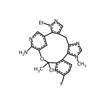 CCn1ncc2c1-c1cnc(N)c(c1)OC(C)(C)c1cc(F)ccc1-c1c(ncn1C)C2